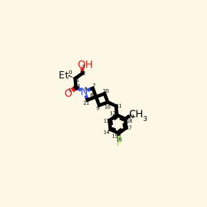 CC[C@H](CO)C(=O)N1CC2(CC(Cc3ccc(F)cc3C)C2)C1